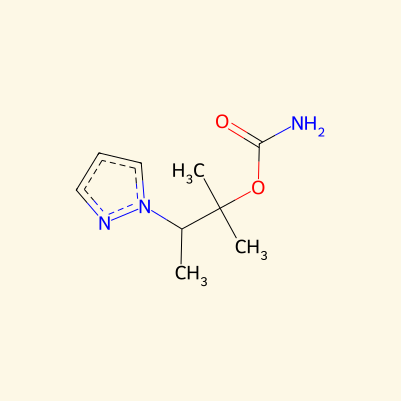 CC(n1cccn1)C(C)(C)OC(N)=O